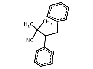 CC(C)(C#N)C(Cc1ccccc1)c1ccccn1